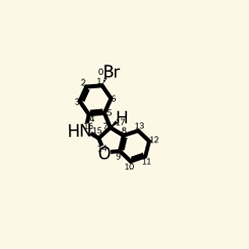 Br[C@H]1C=CC2=C(C1)[C@@H]1C3=C(C=CCC3)OC1N2